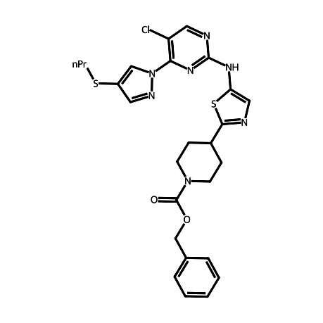 CCCSc1cnn(-c2nc(Nc3cnc(C4CCN(C(=O)OCc5ccccc5)CC4)s3)ncc2Cl)c1